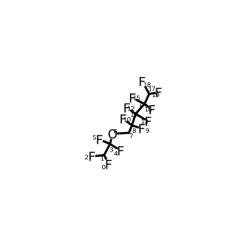 FC(F)C(F)(F)OCC(F)(F)C(F)(F)C(F)(F)C(F)F